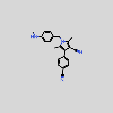 CNc1ccc(Cn2c(C)c(C#N)c(-c3ccc(C#N)cc3)c2C)cc1